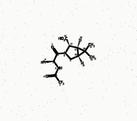 CCC[C@H](NC(=O)C(F)(F)F)C(=O)N1C[C@H]2[C@@H]([C@H]1C(=O)O)C2(C)C